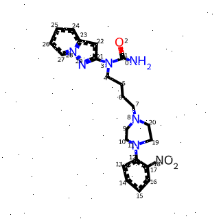 NC(=O)N(CCCCN1CCN(c2ccccc2[N+](=O)[O-])CC1)c1cc2ccccn2n1